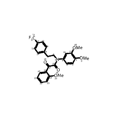 COc1ccc(N(CCc2ccc(C(F)(F)F)cc2)C(=O)C(=O)c2ccccc2OC)cc1OC